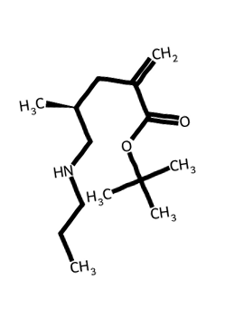 C=C(C[C@H](C)CNCCC)C(=O)OC(C)(C)C